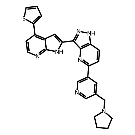 c1csc(-c2ccnc3[nH]c(-c4n[nH]c5ccc(-c6cncc(CN7CCCC7)c6)nc45)cc23)c1